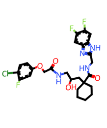 O=C(COc1ccc(Cl)c(F)c1)NCC(O)CC1(C(=O)NCc2nc3cc(F)c(F)cc3[nH]2)CCCCC1